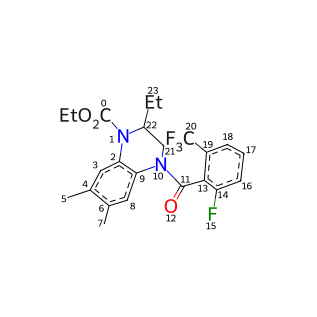 CCOC(=O)N1c2cc(C)c(C)cc2N(C(=O)c2c(F)cccc2C(F)(F)F)CC1CC